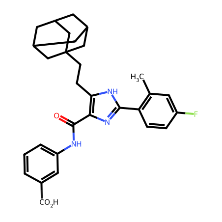 Cc1cc(F)ccc1-c1nc(C(=O)Nc2cccc(C(=O)O)c2)c(CCC23CC4CC(CC(C4)C2)C3)[nH]1